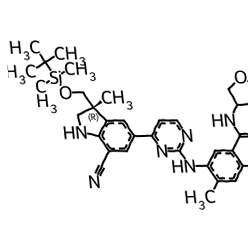 Cc1cc(F)c(C(=O)NC2CCOC2)cc1Nc1nccc(-c2cc(C#N)c3c(c2)[C@@](C)(CO[Si](C)(C)C(C)(C)C)CN3)n1